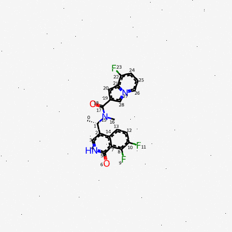 C[C@@H](c1c[nH]c(=O)c2c(F)c(F)ccc12)N(C)C(=O)c1cc2c(F)cccn2c1